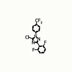 Fc1cccc(F)c1-c1nc(Cl)n(-c2ccc(C(F)(F)F)cc2)n1